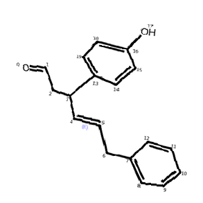 O=CCC(/C=C/Cc1ccccc1)c1ccc(O)cc1